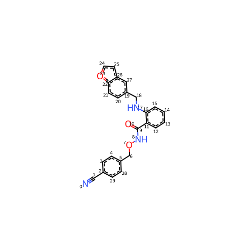 N#Cc1ccc(CONC(=O)c2ccccc2NCc2ccc3occc3c2)cc1